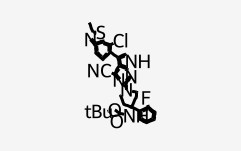 Cc1nc2ccc(-c3c[nH]c4nc(N5CCC(NC(=O)OC(C)(C)C)(c6ccccc6F)CC5)nc(C#N)c34)c(Cl)c2s1